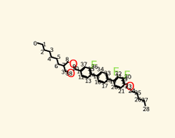 CCCCCCCC1COC(c2ccc(-c3ccc(-c4ccc(OCCCCC)c(F)c4F)cc3)c(F)c2)OC1